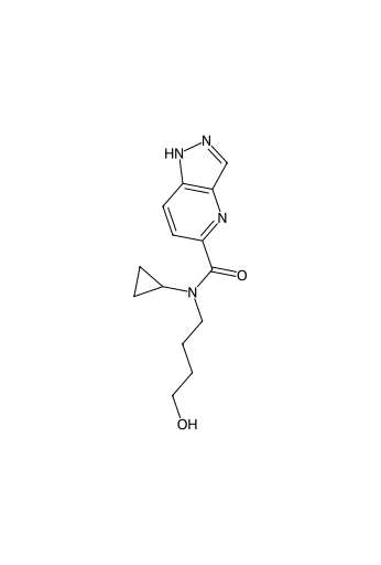 O=C(c1ccc2[nH]ncc2n1)N(CCCCO)C1CC1